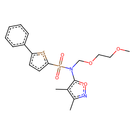 COCCOCN(c1onc(C)c1C)S(=O)(=O)c1ccc(-c2ccccc2)s1